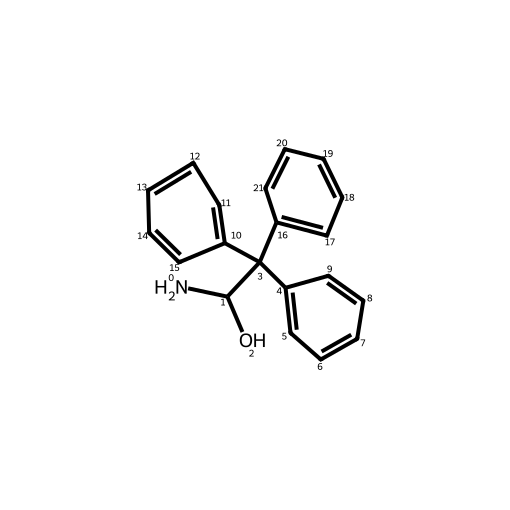 NC(O)C(c1ccccc1)(c1ccccc1)c1ccccc1